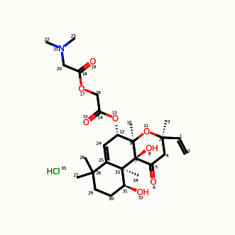 C=C[C@@]1(C)CC(=O)[C@@]2(O)[C@](C)(O1)[C@@H](OC(=O)COC(=O)CN(C)C)C=C1C(C)(C)CC[C@H](O)[C@@]12C.Cl